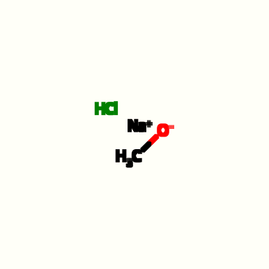 C[O-].Cl.[Na+]